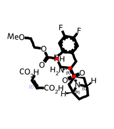 COCCOC(=O)NCCS(=O)(=O)N1[C@@H]2CC[C@H]1C[C@H]([C@H](N)Cc1cc(F)c(F)cc1F)C2.O=C(O)/C=C\C(=O)O